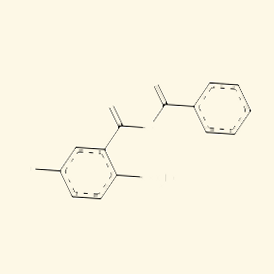 CCOC(=O)c1ccc(CC)cc1C(=O)OC(=O)c1ccccc1